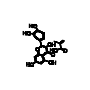 C=C(C)C(=O)O.O=c1c(O)c(-c2ccc(O)c(O)c2)oc2cc(O)cc(O)c12